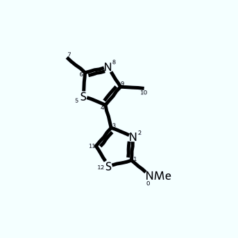 CNc1nc(-c2sc(C)nc2C)cs1